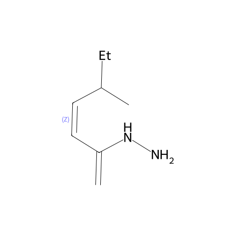 C=C(/C=C\C(C)CC)NN